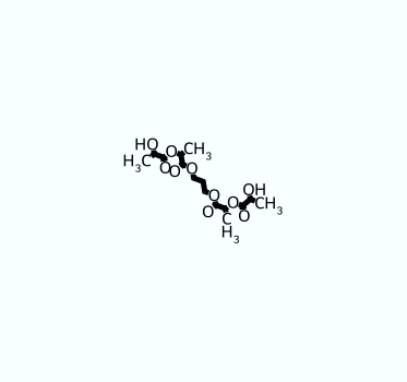 CC(O)C(=O)OC(C)C(=O)OCCCOC(=O)C(C)OC(=O)C(C)O